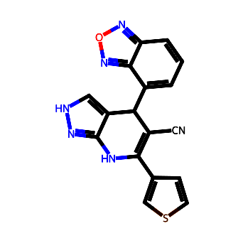 N#CC1=C(c2ccsc2)Nc2n[nH]cc2C1c1cccc2nonc12